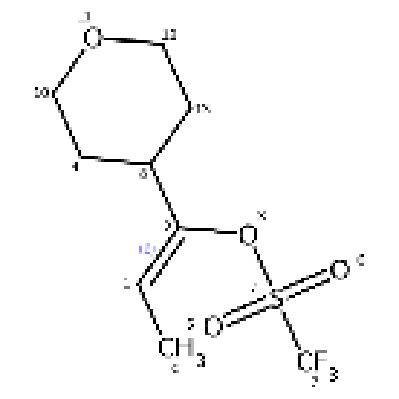 C/C=C(\OS(=O)(=O)C(F)(F)F)C1CCOCC1